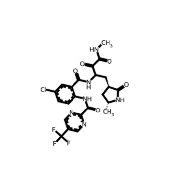 CNC(=O)C(=O)C(C[C@@H]1C[C@@H](C)NC1=O)NC(=O)c1cc(Cl)ccc1NC(=O)c1ncc(C(F)(F)F)cn1